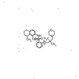 CC1CCCc2ccc(NS(=O)(=O)c3ccccc3NCC(C)(C)CN3CCOCC3)c(C(=O)O)c21